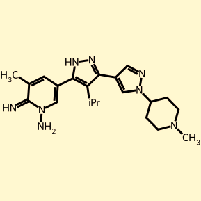 Cc1cc(-c2[nH]nc(-c3cnn(C4CCN(C)CC4)c3)c2C(C)C)cn(N)c1=N